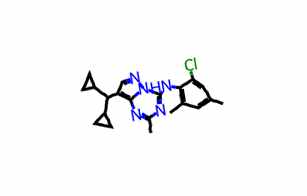 Cc1cc(C)c(Nc2nc(C)nc3c(C(C4CC4)C4CC4)cnn23)c(Cl)c1